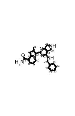 Cc1cc2c(C(N)=O)cccn2c1-c1nc2c(c(NCc3ccccc3)n1)CNC2